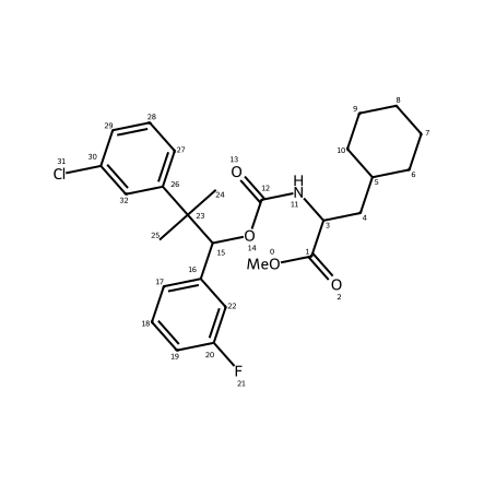 COC(=O)C(CC1CCCCC1)NC(=O)OC(c1cccc(F)c1)C(C)(C)c1cccc(Cl)c1